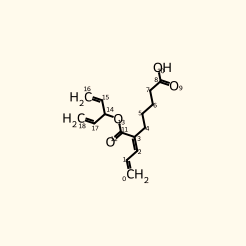 C=CC=C(CCCCC(=O)O)C(=O)OC(C=C)C=C